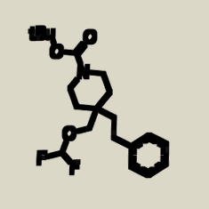 CC(C)(C)OC(=O)N1CCC(CCc2ccccc2)(COC(F)F)CC1